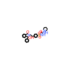 O=C(NN1CCCCC1)NS(=O)(=O)c1ccc(CCN2C(=O)c3ccccc3C2(O)c2ccccc2)cc1